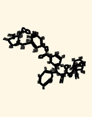 O=C(N[C@@H](c1ccccc1)c1cccc(C(=O)Oc2cccc(CN3CCS[C@H]3C(=O)O)c2)c1)O[C@H]1CN2CCC1CC2